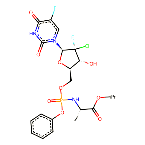 CC(C)OC(=O)[C@H](C)NP(=O)(OC[C@H]1O[C@@H](n2cc(F)c(=O)[nH]c2=O)[C@@](F)(Cl)[C@@H]1O)Oc1ccccc1